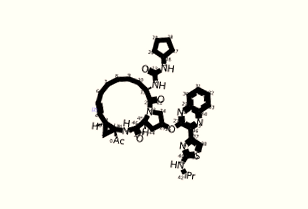 CC(=O)[C@@]12C[C@H]1/C=C\CCCCC[C@H](NC(=O)NC1CCCC1)C(=O)N1CC(Oc3nc4ccccc4nc3-c3csc(NC(C)C)n3)C[C@H]1C(=O)N2